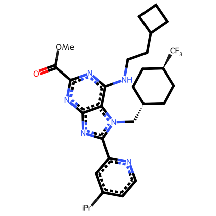 COC(=O)c1nc(NCCC2CCC2)c2c(n1)nc(-c1cc(C(C)C)ccn1)n2C[C@H]1CC[C@H](C(F)(F)F)CC1